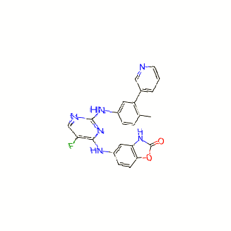 Cc1ccc(Nc2ncc(F)c(Nc3ccc4oc(=O)[nH]c4c3)n2)cc1-c1cccnc1